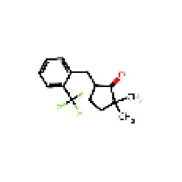 CC1(C)CCC(Cc2ccccc2C(F)(F)F)C1=O